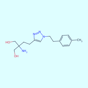 Cc1ccc(CCn2cc(CCC(N)(CO)CO)nn2)cc1